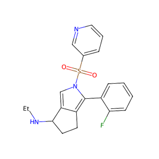 CCNC1CCc2c1cn(S(=O)(=O)c1cccnc1)c2-c1ccccc1F